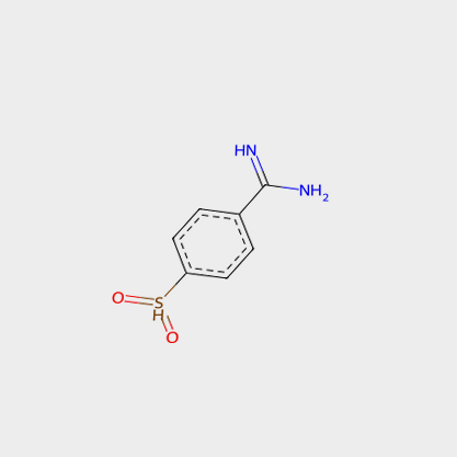 N=C(N)c1ccc([SH](=O)=O)cc1